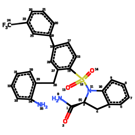 NC(=O)[C@@H]1Cc2ccccc2N1S(=O)(=O)c1ccc(-c2cccc(C(F)(F)F)c2)cc1Cc1ccccc1N